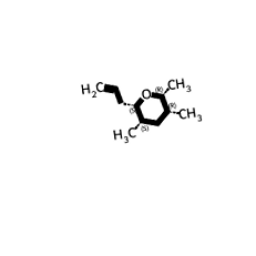 C=CC[C@@H]1O[C@H](C)[C@H](C)C[C@@H]1C